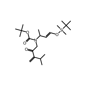 C=C(C(=O)CN(C(=O)OC(C)(C)C)C(C)C=CO[Si](C)(C)C(C)(C)C)C(C)C